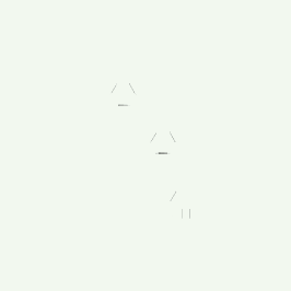 CC=CC1CCc2c(ccc3c2CCC(c2ccc(F)c(F)c2)C3)C1